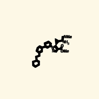 CN/C=C(\N)C1C[C@H]1c1c(C(=O)OC)cnn1-c1cccc(-c2cccc(CCC3CCCCC3)c2)c1